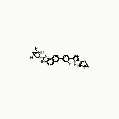 Fc1cc(-c2ccc3c(ccc4[nH]c([C@@H]5C[C@H]6C[C@H]6N5)nc43)c2)ccc1-c1cnc([C@@H]2CC3C[C@H]3N2)[nH]1